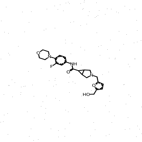 O=C(Nc1ccc(N2CCOCC2)c(F)c1)C1C2CN(Cc3ccc(CO)o3)CC21